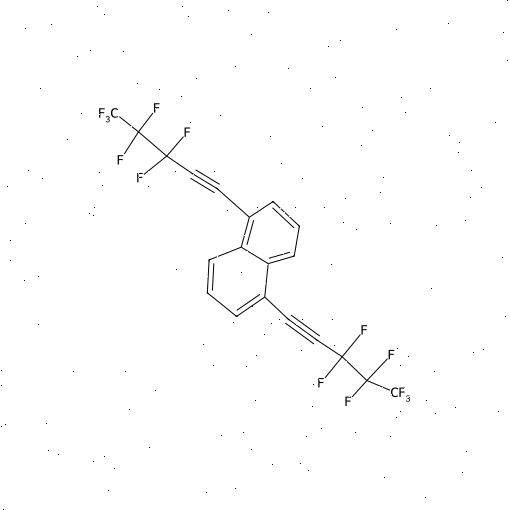 FC(F)(F)C(F)(F)C(F)(F)C#Cc1cccc2c(C#CC(F)(F)C(F)(F)C(F)(F)F)cccc12